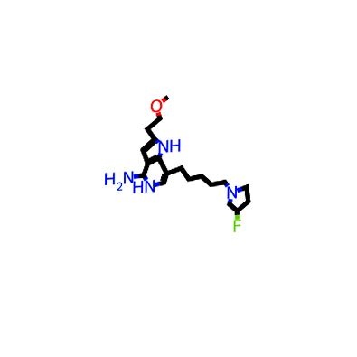 COCCc1cc2c([nH]1)C(CCCCCN1CCC(F)C1)=CNC2N